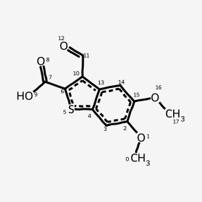 COc1cc2sc(C(=O)O)c(C=O)c2cc1OC